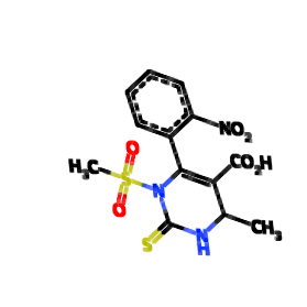 CC1NC(=S)N(S(C)(=O)=O)C(c2ccccc2[N+](=O)[O-])=C1C(=O)O